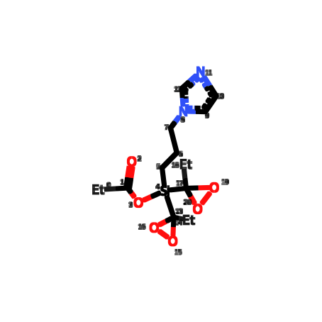 CCC(=O)O[Si](CCCn1ccnc1)(C1(CC)OO1)C1(CC)OO1